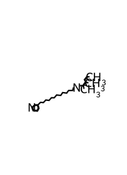 C\C=C/C(C)=C(C)\C=N\CCCCCCCCCCCCCc1cccnc1